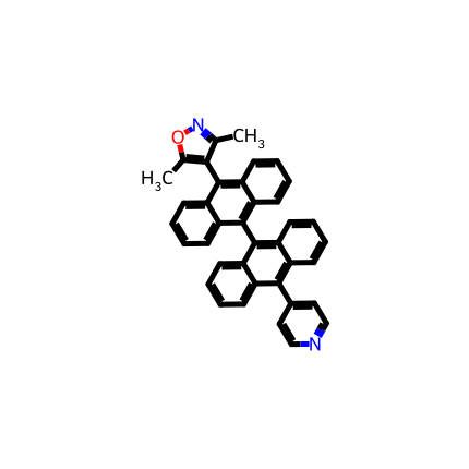 Cc1noc(C)c1-c1c2ccccc2c(-c2c3ccccc3c(-c3ccncc3)c3ccccc23)c2ccccc12